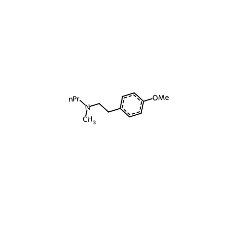 [CH2]CCN(C)CCc1ccc(OC)cc1